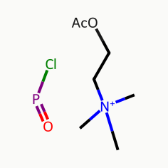 CC(=O)OCC[N+](C)(C)C.O=PCl